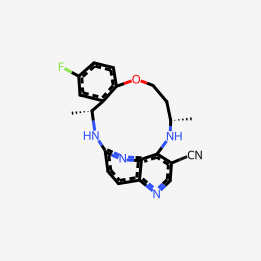 C[C@H]1CCOc2ccc(F)cc2[C@@H](C)Nc2ccc3ncc(C#N)c(c3n2)N1